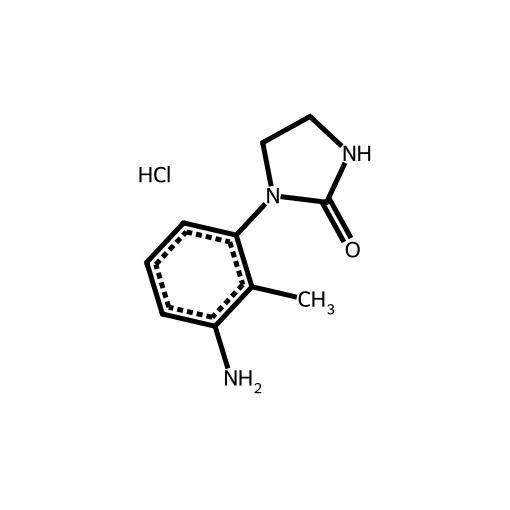 Cc1c(N)cccc1N1CCNC1=O.Cl